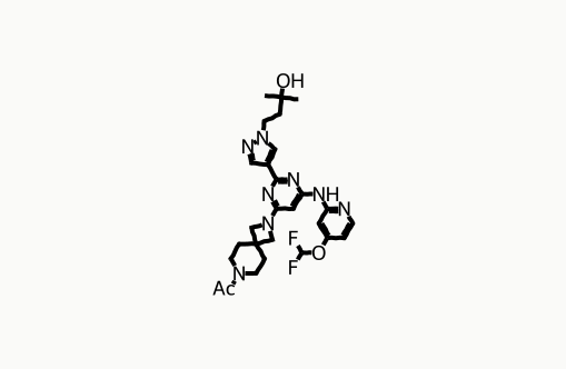 CC(=O)N1CCC2(CC1)CN(c1cc(Nc3cc(OC(F)F)ccn3)nc(-c3cnn(CCC(C)(C)O)c3)n1)C2